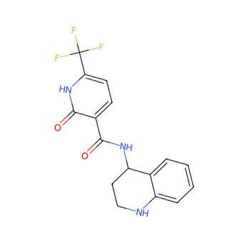 O=C(NC1CCNc2ccccc21)c1ccc(C(F)(F)F)[nH]c1=O